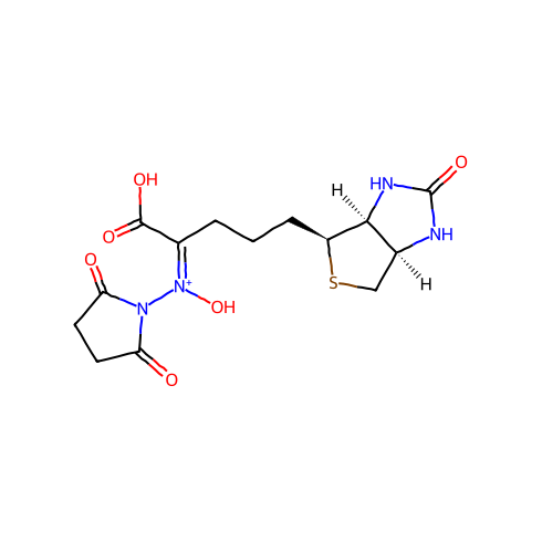 O=C1N[C@H]2[C@H](CS[C@H]2CCCC(C(=O)O)=[N+](O)N2C(=O)CCC2=O)N1